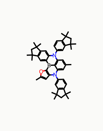 Cc1cc2c3c(c1)N(c1ccc4c(c1)C(C)(C)CC4(C)C)c1cc(C)oc1B3c1cc3c(cc1N2c1ccc2c(c1)C(C)(C)CC2(C)C)C(C)(C)CC3(C)C